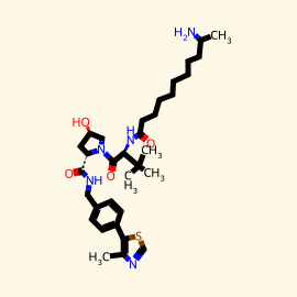 Cc1ncsc1-c1ccc(CNC(=O)[C@@H]2C[C@@H](O)CN2C(=O)[C@@H](NC(=O)CCCCCCCCC(C)N)C(C)(C)C)cc1